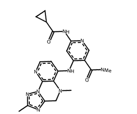 CNC(=O)c1cnc(NC(=O)C2CC2)cc1Nc1ccnc2c1N(C)Cc1nc(C)nn1-2